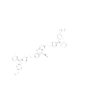 COc1ccc(N(c2ccccc2)c2ccc(C=Cc3ccc4cc5cc(C=Cc6ccc(N(c7ccccc7)c7ccc(CO)cc7)cc6)ccc5c(C#N)c4c3)cc2)cc1